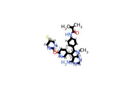 C=C(C)C(=O)Nc1ccc(-c2c(-c3ccc(Oc4ncc(F)cn4)nc3)c3c(N)ncnc3n2C)cc1